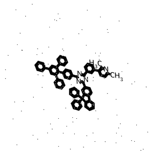 Cc1ccc(-c2cccc(-c3nc(-c4ccc(-c5c(-c6ccccc6)cc(-c6ccccc6)cc5-c5ccccc5)cc4)nc(-c4ccc5c(c4)C(c4ccccc4)(c4ccccc4)c4ccccc4-5)n3)c2)c(C)n1